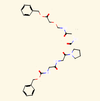 CC[C@H](C)[C@H](NC(=O)[C@@H]1CCCN1C(=O)CNC(=O)CNC(=O)OCc1ccccc1)C(=O)NCOCC(=O)OCc1ccccc1